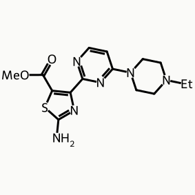 CCN1CCN(c2ccnc(-c3nc(N)sc3C(=O)OC)n2)CC1